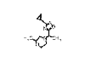 CC1CN(C(C)c2nc(C3CC3)no2)CCO1